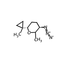 CC1O[C@H](C2(C)CC2)CC[C@H]1N=[N+]=[N-]